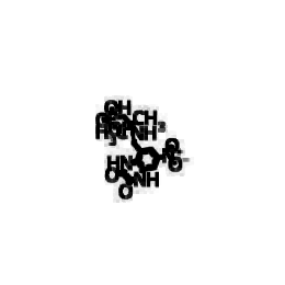 CC(C)(CP(=O)(O)O)NCc1cc([N+](=O)[O-])cc2[nH]c(=O)c(=O)[nH]c12